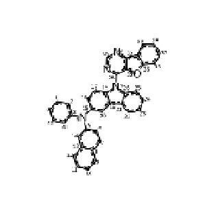 c1ccc(N(c2ccc3ccccc3c2)c2ccc3c(c2)c2ccccc2n3-c2ncnc3c2oc2ccccc23)cc1